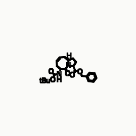 CC(C)(C)OC(=O)N[C@H]1C/C=C\C[C@H]2CC[C@@H](C(=O)OCc3ccccc3)N2C1=O